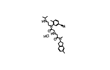 Cc1ccc2c(c1)CC(N(C)C(=O)CNCC(=O)N(CCNC(C)C)c1cc(C#N)ccc1C)C2.Cl